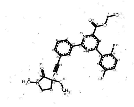 CCOC(=O)c1cc(-c2cc(F)ccc2F)nc(-c2cccc(C#C[C@]3(OC)CCN(C)C3=O)c2)n1